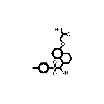 Cc1ccc(S(=O)(=O)C(N)C2CCCc3c(OCC(=O)O)cccc32)cc1